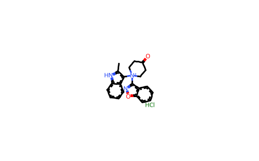 Cc1[nH]c2ccccc2c1[N+]1(c2noc3ccccc23)CCC(=O)CC1.Cl